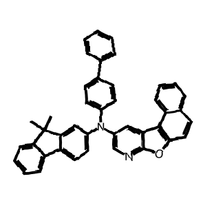 CC1(C)c2ccccc2-c2ccc(N(c3ccc(-c4ccccc4)cc3)c3cnc4oc5ccc6ccccc6c5c4c3)cc21